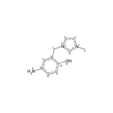 Cn1cc[n+](Cc2cc(N)ccc2O)c1